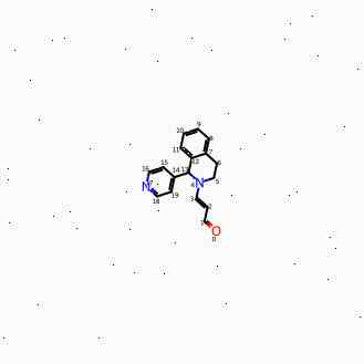 O=CC=CN1CCc2ccccc2C1c1ccncc1